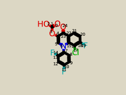 O=C(O)Oc1cn(-c2ccc(F)cc2F)c2c(Cl)c(F)ccc2c1=O